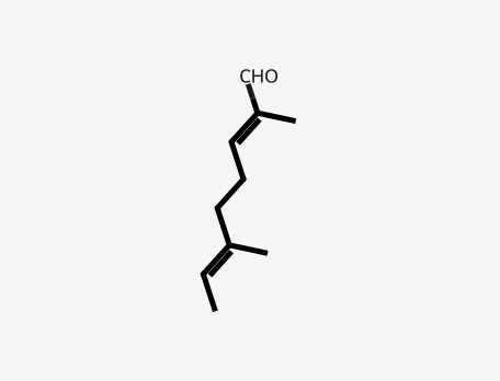 C/C=C(\C)CC/C=C(\C)C=O